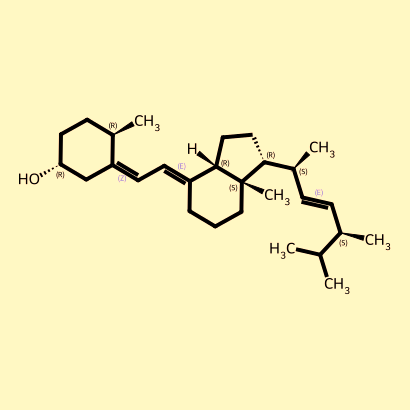 CC(C)[C@H](C)/C=C/[C@H](C)[C@H]1CC[C@H]2/C(=C/C=C3/C[C@H](O)CC[C@H]3C)CCC[C@@]12C